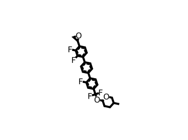 CC1CCC(OC(F)(F)c2ccc(-c3ccc(-c4ccc(C5CO5)c(F)c4F)cc3)c(F)c2)OC1